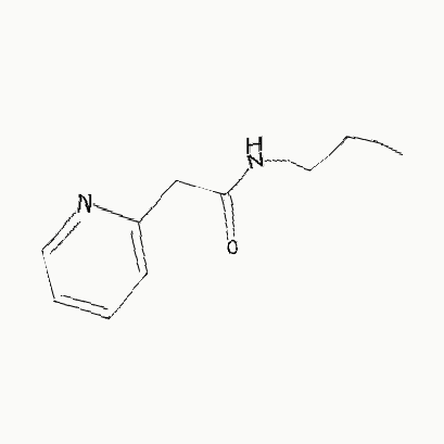 CCCNC(=O)Cc1ccccn1